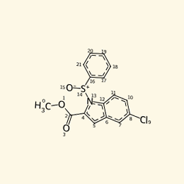 COC(=O)c1cc2cc(Cl)ccc2n1[S+]([O-])c1ccccc1